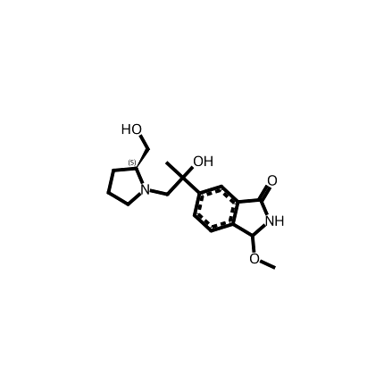 COC1NC(=O)c2cc(C(C)(O)CN3CCC[C@H]3CO)ccc21